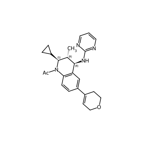 CC(=O)N1c2ccc(C3=CCOCC3)cc2[C@H](Nc2ncccn2)[C@@H](C)[C@@H]1C1CC1